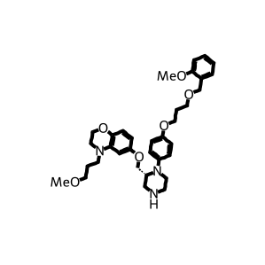 COCCCN1CCOc2ccc(OC[C@H]3CNCCN3c3ccc(OCCCOCc4ccccc4OC)cc3)cc21